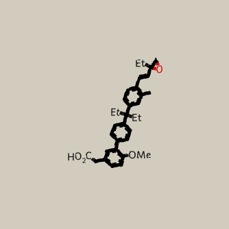 CCC1(/C=C/c2ccc(C(CC)(CC)c3ccc(-c4cc(CC(=O)O)ccc4OC)cc3)cc2C)CO1